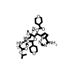 CO[C@](C#N)(CO[PH](=O)N[C@@H](C)C(=O)OC(C)C)[C@@H](OC(=O)C1CCOCC1)[C@@H](OC(=O)C1CCOCC1)c1ccc2c(N)ncnn12